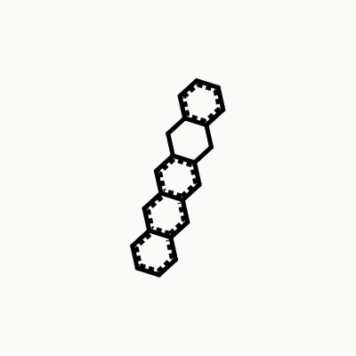 c1ccc2c(c1)Cc1cc3cc4ccccc4cc3cc1C2